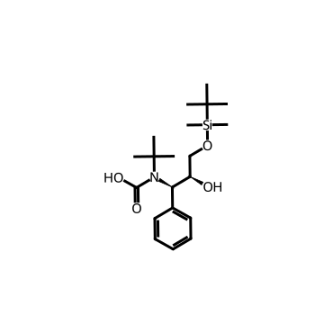 CC(C)(C)N(C(=O)O)[C@H](c1ccccc1)[C@H](O)CO[Si](C)(C)C(C)(C)C